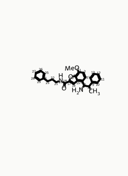 COc1ccc(C(N)C(C)c2ccccc2)c2cc(C(=O)NCCCc3ccccc3)oc12